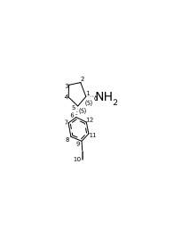 N[C@H]1CCC[C@H]1c1ccc(I)cc1